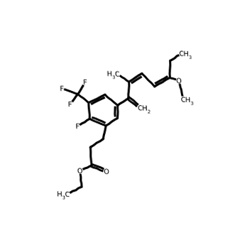 C=C(/C(C)=C\C=C(/CC)OC)c1cc(CCC(=O)OCC)c(F)c(C(F)(F)F)c1